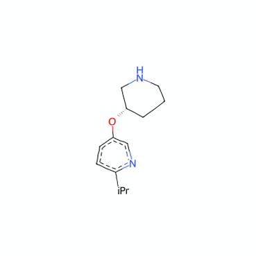 CC(C)c1ccc(O[C@H]2CCCNC2)cn1